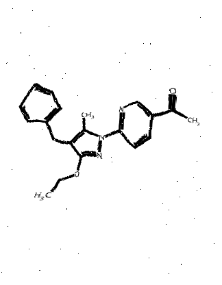 CCOc1nn(-c2ccc(C(C)=O)cn2)c(C)c1Cc1ccccc1